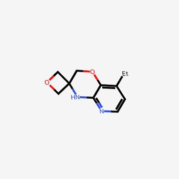 CCc1ccnc2c1OCC1(COC1)N2